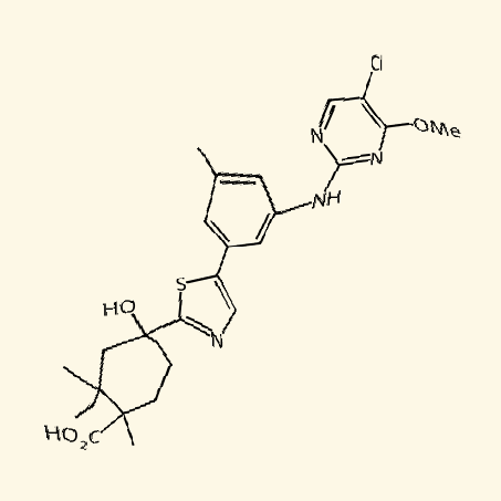 COc1nc(Nc2cc(C)cc(-c3cnc(C4(O)CCC(C)(C(=O)O)C(C)(C)C4)s3)c2)ncc1Cl